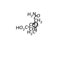 C=C(C)C(=O)O.C=CC(N)=O.C=Cc1ccccc1